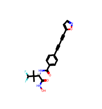 CC(C)(C(F)F)[C@H](NC(=O)c1ccc(C#CC#Cc2ccno2)cc1)C(=O)NO